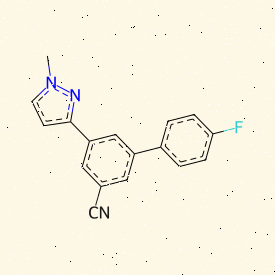 Cn1ccc(-c2cc(C#N)cc(-c3ccc(F)cc3)c2)n1